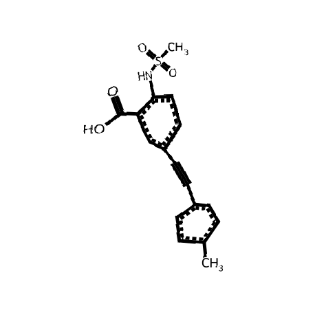 Cc1ccc(C#Cc2ccc(NS(C)(=O)=O)c(C(=O)O)c2)cc1